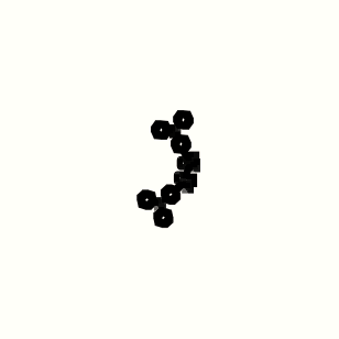 c1ccc(N(c2ccccc2)c2ccc(-c3nnc(-c4nnc(-c5ccc(N(c6ccccc6)c6ccccc6)cc5)o4)o3)cc2)cc1